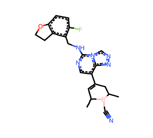 CC1C=C(c2cnc(NCc3c(F)ccc4c3CCO4)n3cnnc23)CC(C)B1C#N